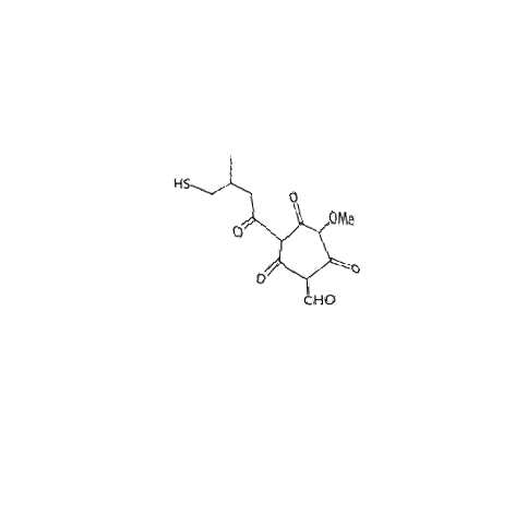 COC1C(=O)C(C=O)C(=O)C(C(=O)CC(C)CS)C1=O